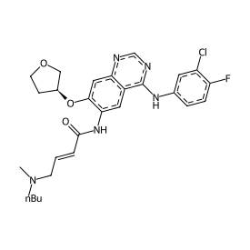 CCCCN(C)C/C=C/C(=O)Nc1cc2c(Nc3ccc(F)c(Cl)c3)ncnc2cc1O[C@H]1CCOC1